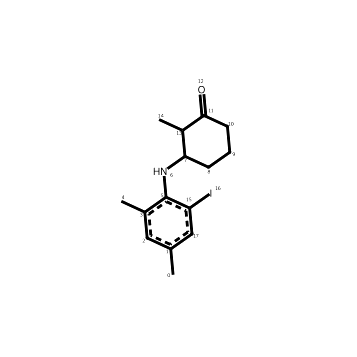 Cc1cc(C)c(NC2CCCC(=O)C2C)c(I)c1